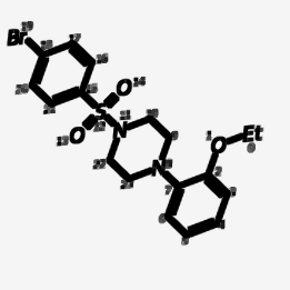 CCOc1ccccc1N1CCN(S(=O)(=O)c2ccc(Br)cc2)CC1